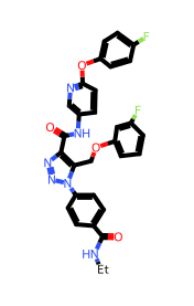 CCNC(=O)c1ccc(-n2nnc(C(=O)Nc3ccc(Oc4ccc(F)cc4)nc3)c2COc2cccc(F)c2)cc1